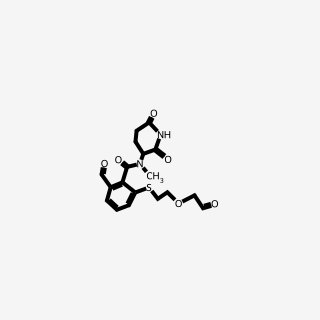 CN(C(=O)c1c(C=O)cccc1SCCOCC=O)C1CCC(=O)NC1=O